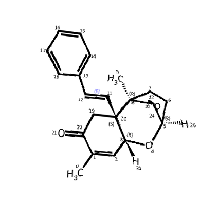 CC1=C[C@H]2O[C@@H]3CC[C@](C)([C@@]2(/C=C/c2ccccc2)CC1=O)[C@]31CO1